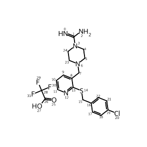 N=C(N)N1CCN(Cc2cccnc2SCc2ccc(Cl)cc2)CC1.O=C(O)C(F)(F)F